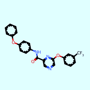 O=C(Nc1ccc(Oc2ccccc2)cc1)c1cncc(Oc2cccc(C(F)(F)F)c2)n1